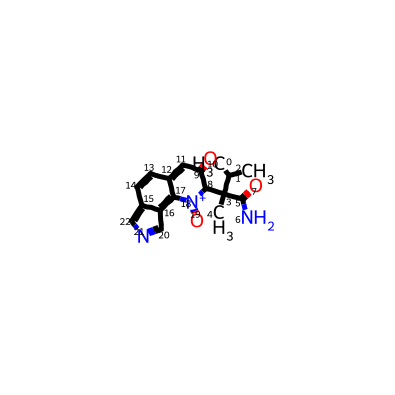 CC(C)C(C)(C(N)=O)C1C(=O)C=c2ccc3c(c2[N+]1=O)C=NC=3